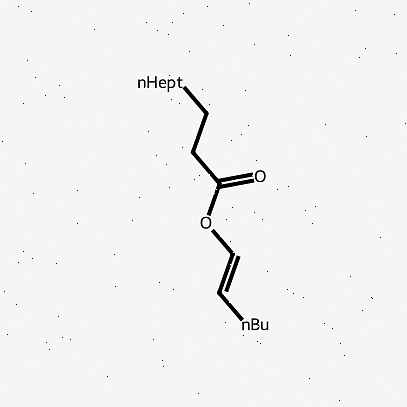 CCCCC=COC(=O)CCCCCCCCC